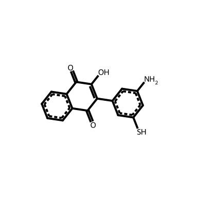 Nc1cc(S)cc(C2=C(O)C(=O)c3ccccc3C2=O)c1